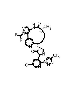 C[C@@H]1CCC[C@H](N2C=NC(c3cc(Cl)cnc3-n3cc(C(F)(F)F)nn3)C2=O)c2cc(ccn2)-c2c(cnn2C(F)F)NC1=O